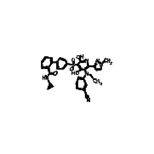 CCN(c1cccc(C#N)c1)c1c(-c2ccn(C)n2)nc(O)c(S(=O)(=O)c2ccc(-c3ccccc3C(=O)NC3CC3)cc2)c1O